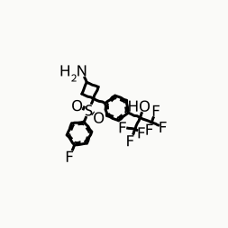 NC1CC(c2ccc(C(O)(C(F)(F)F)C(F)(F)F)cc2)(S(=O)(=O)c2ccc(F)cc2)C1